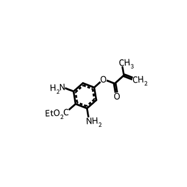 C=C(C)C(=O)Oc1cc(N)c(C(=O)OCC)c(N)c1